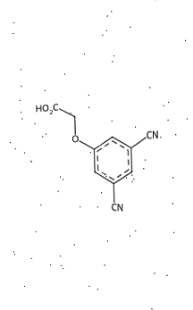 N#Cc1cc(C#N)cc(OCC(=O)O)c1